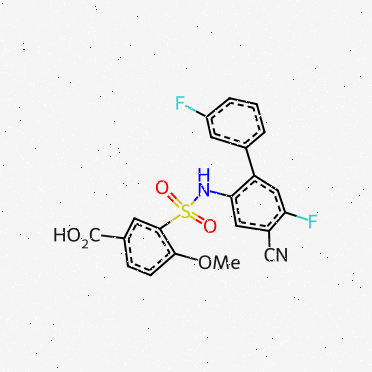 COc1ccc(C(=O)O)cc1S(=O)(=O)Nc1cc(C#N)c(F)cc1-c1cccc(F)c1